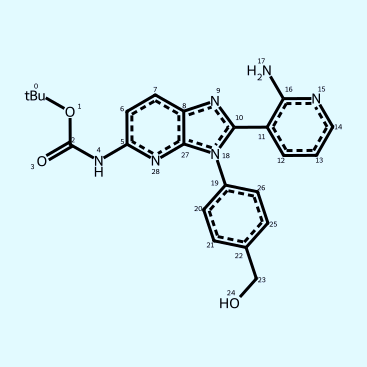 CC(C)(C)OC(=O)Nc1ccc2nc(-c3cccnc3N)n(-c3ccc(CO)cc3)c2n1